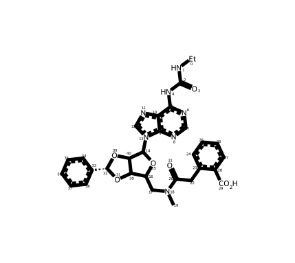 CCNC(=O)Nc1ncnc2c1ncn2C1OC(CN(C)C(=O)Cc2ccccc2C(=O)O)C2O[C@H](c3ccccc3)OC21